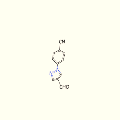 N#Cc1ccc(-n2cc(C=O)cn2)cc1